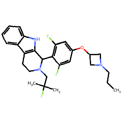 CCCN1CC(Oc2cc(F)c(C3c4[nH]c5ccccc5c4CCN3CC(C)(C)F)c(F)c2)C1